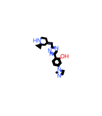 Oc1cc(-n2ccnc2)ccc1-c1cnc(/C=C2/CCNC3(CC3)C2)nn1